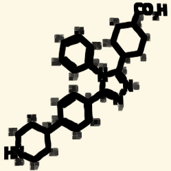 O=C(O)C1CCC(c2nnc(-c3ccc(C4CCNCC4)cc3)n2-c2ccccc2)CC1